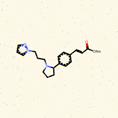 COC(=O)/C=C/c1ccc(C2CCCN2CCCn2cccn2)cc1